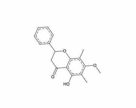 COc1c(C)c(O)c2c(c1C)OC(c1ccccc1)CC2=O